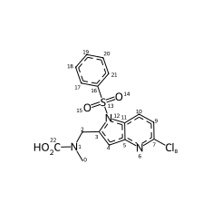 CN(Cc1cc2nc(Cl)ccc2n1S(=O)(=O)c1ccccc1)C(=O)O